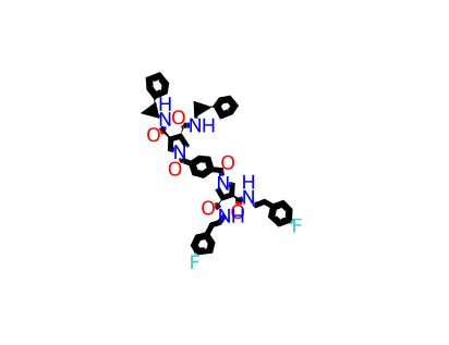 O=C(NCCc1ccc(F)cc1)[C@@H]1CN(C(=O)c2ccc(C(=O)N3C[C@@H](C(=O)N[C@H]4C[C@@H]4c4ccccc4)[C@H](C(=O)N[C@H]4C[C@@H]4c4ccccc4)C3)cc2)C[C@H]1C(=O)NCCc1ccc(F)cc1